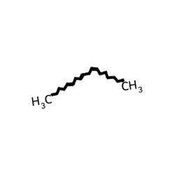 CCCCCC=CCC=CC/C=C\CCCCCCC